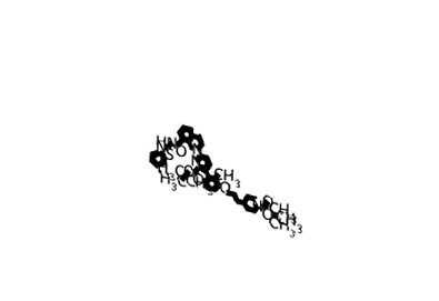 Cc1c(OCCCC2CCN(C(=O)OC(C)(C)C)CC2)cccc1-c1ccc(N2CCc3cccc(C(=O)Nc4nc5ccccc5s4)c3C2)nc1C(=O)OC(C)(C)C